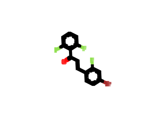 O=C(/C=C/c1ccc(Br)cc1F)c1c(F)cccc1F